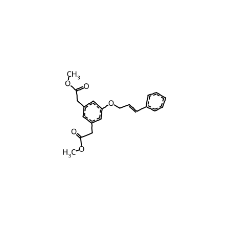 COC(=O)Cc1cc(CC(=O)OC)cc(OCC=Cc2ccccc2)c1